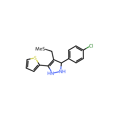 CSCC1=C(c2cccs2)NNC1c1ccc(Cl)cc1